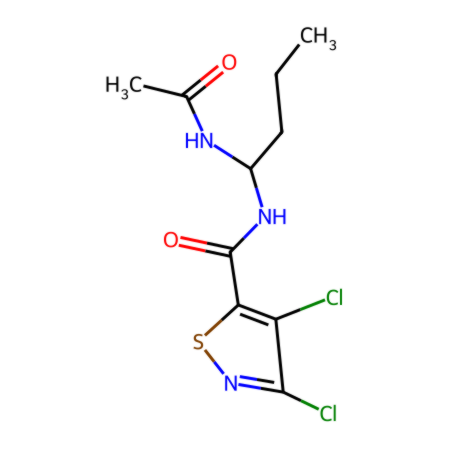 CCCC(NC(C)=O)NC(=O)c1snc(Cl)c1Cl